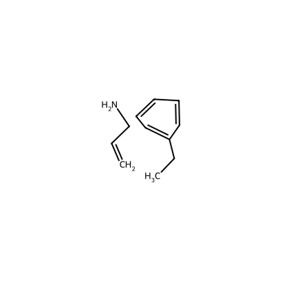 C=CCN.CCc1ccccc1